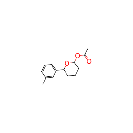 CC(=O)OC1CCCC(c2cccc(C)c2)O1